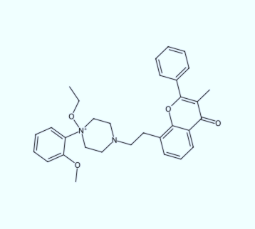 CCO[N+]1(c2ccccc2OC)CCN(CCc2cccc3c(=O)c(C)c(-c4ccccc4)oc23)CC1